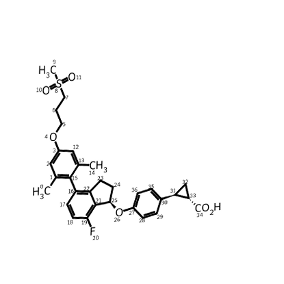 Cc1cc(OCCCS(C)(=O)=O)cc(C)c1-c1ccc(F)c2c1CC[C@H]2Oc1ccc([C@H]2C[C@@H]2C(=O)O)cc1